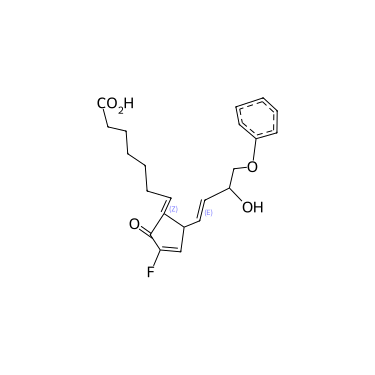 O=C(O)CCCCC/C=C1\C(=O)C(F)=CC1/C=C/C(O)COc1ccccc1